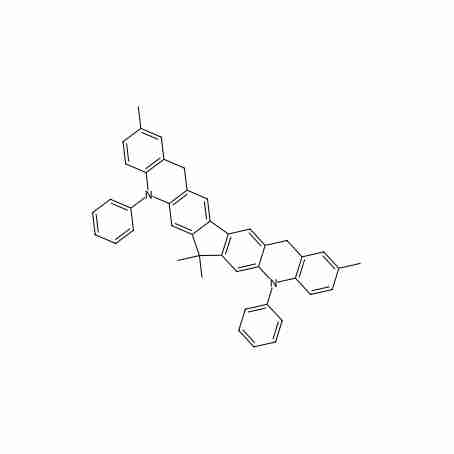 Cc1ccc2c(c1)Cc1cc3c(cc1N2c1ccccc1)C(C)(C)c1cc2c(cc1-3)Cc1cc(C)ccc1N2c1ccccc1